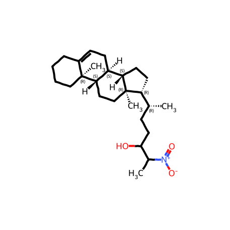 CC(C(O)CC[C@@H](C)[C@H]1CC[C@H]2[C@@H]3CC=C4CCCC[C@]4(C)[C@H]3CC[C@]12C)[N+](=O)[O-]